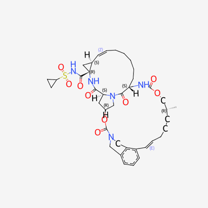 C[C@@H]1CCC/C=C/c2cccc3c2CN(C3)C(=O)O[C@@H]2C[C@H]3C(=O)N[C@]4(C(=O)NS(=O)(=O)C5CC5)C[C@H]4/C=C\CCCCC[C@H](NC(=O)OC1)C(=O)N3C2